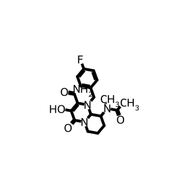 CC(=O)N(C)C1CCCN2C(=O)C(O)=C(C(N)=O)N(Cc3ccc(F)cc3)C12